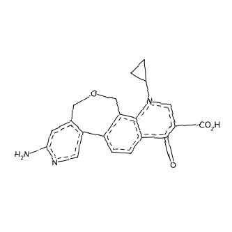 Nc1cc2c(cn1)-c1ccc3c(=O)c(C(=O)O)cn(C4CC4)c3c1COC2